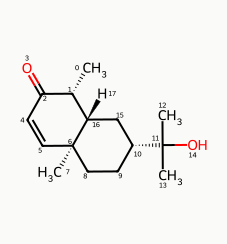 C[C@H]1C(=O)C=C[C@]2(C)CC[C@@H](C(C)(C)O)C[C@@H]12